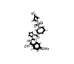 CC[C@H](NC(=O)[C@H]1CCCN1C(=O)[C@H]1CCCN(S(=O)(=O)N2CC(C#N)C2)C1)c1ccc(OC)cc1